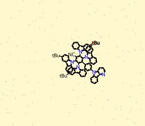 CC(C)(C)c1ccc2c(c1)c1ccccc1n2-c1c(C#N)c(-n2c3ccccc3c3cc(C(C)(C)C)ccc32)c(-n2c3ccccc3c3cc(C(C)(C)C)ccc32)c(-c2ccc(-n3c4ccccc4c4ncccc43)cc2)c1-n1c2ccccc2c2cc(C(C)(C)C)ccc21